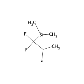 CC(F)C(F)(F)[Si](C)C